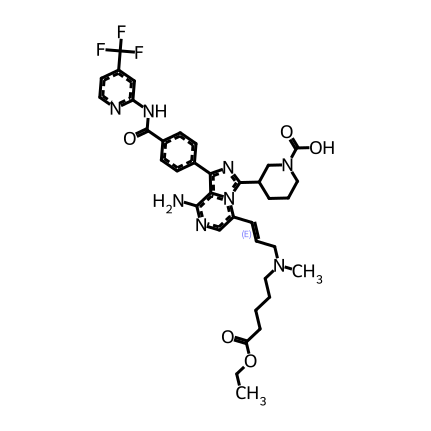 CCOC(=O)CCCCN(C)C/C=C/c1cnc(N)c2c(-c3ccc(C(=O)Nc4cc(C(F)(F)F)ccn4)cc3)nc(C3CCCN(C(=O)O)C3)n12